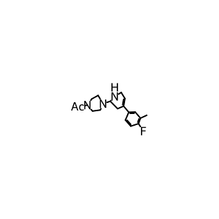 CC(=O)N1CCN(C2CC(c3ccc(F)c(C)c3)=CCN2)CC1